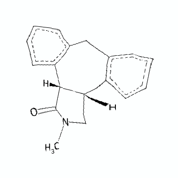 CN1C[C@H]2c3ccccc3Cc3ccccc3[C@H]2C1=O